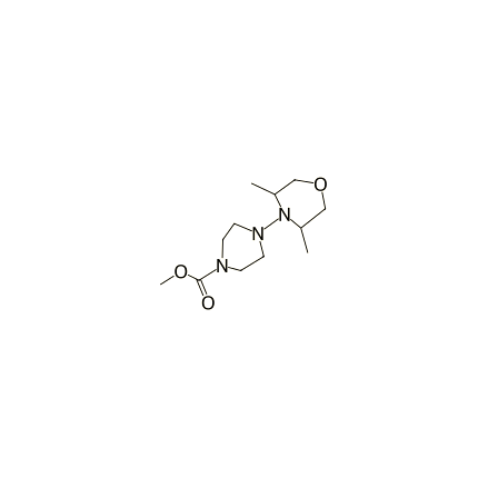 COC(=O)N1CCN(N2C(C)COCC2C)CC1